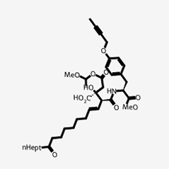 CC#CCOc1ccc(C[C@H](NC(=O)[C@@H](/C=C/CCCCCCC(=O)CCCCCCC)[C@@](O)(CC(=O)OC(C)OC)C(=O)O)C(=O)OC)cc1